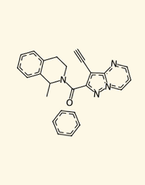 C#Cc1c(C(=O)N2CCc3ccccc3C2C)nn2cccnc12.c1ccccc1